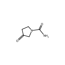 NC(=O)N1CCC(=O)C1